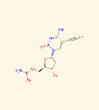 CC#Cc1cn([C@H]2C[C@H](O)[C@@H](COP(N)O)O2)c(=O)nc1N